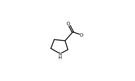 [O]C(=O)C1CCNC1